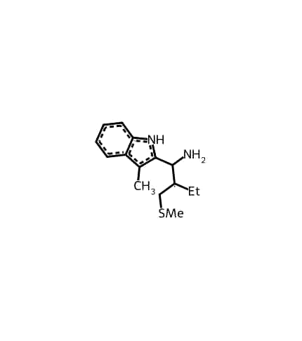 CC[C](CSC)C(N)c1[nH]c2ccccc2c1C